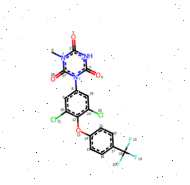 Cn1c(=O)[nH]c(=O)n(-c2cc(Cl)c(Oc3ccc(C(F)(F)F)cc3)c(Cl)c2)c1=O